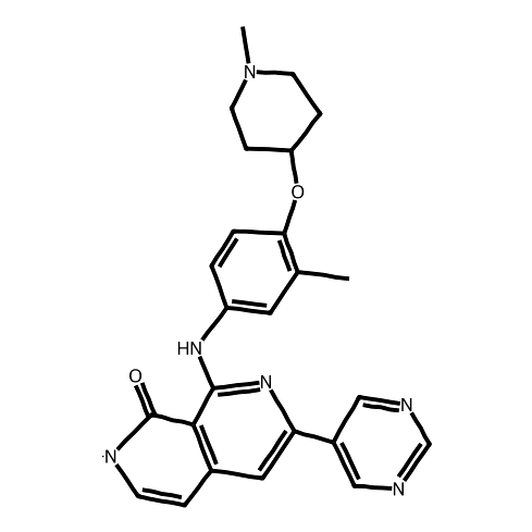 Cc1cc(Nc2nc(-c3cncnc3)cc3c2C(=O)[N]C=C3)ccc1OC1CCN(C)CC1